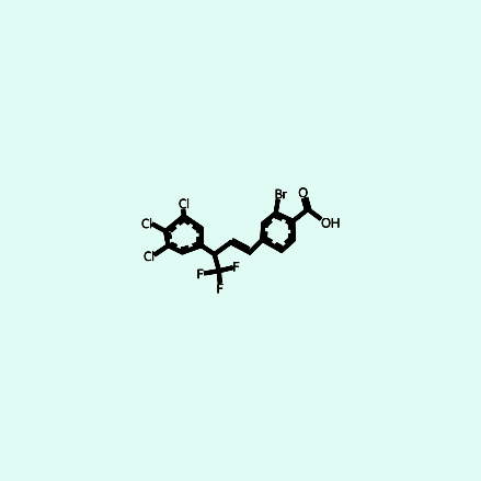 O=C(O)c1ccc(C=CC(c2cc(Cl)c(Cl)c(Cl)c2)C(F)(F)F)cc1Br